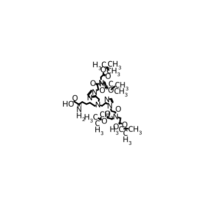 CC(C)(C)OC(=O)CN(CC(=O)OC(C)(C)C)C(=O)Cn1ccnc1CN(CCCC[C@@H](N)C(=O)O)Cc1nccn1CC(=O)N(CC(=O)OC(C)(C)C)CC(=O)OC(C)(C)C